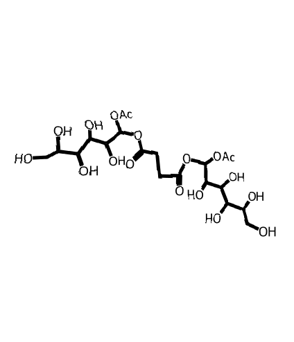 CC(=O)OC(OC(=O)CCC(=O)OC(OC(C)=O)C(O)C(O)C(O)C(O)CO)C(O)C(O)C(O)C(O)CO